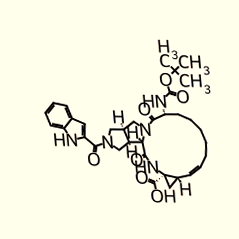 CC(C)(C)OC(=O)N[C@@H]1CCCCC/C=C\[C@@H]2C[C@@]2(C(=O)O)NC(=O)[C@@H]2[C@H]3CN(C(=O)c4cc5ccccc5[nH]4)C[C@H]3CN2C1=O